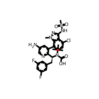 Cn1nc(NS(C)(=O)=O)c2c(Cl)ccc(-c3cc(N)cnc3[C@H](Cc3cc(F)cc(F)c3)N(C(=O)O)C(C)(C)C)c21